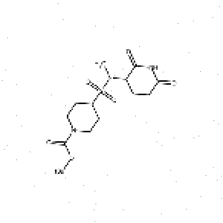 CN(C1CCC(=O)NC1=O)S(=O)(=O)C1CCN(C(=O)OC(C)(C)C)CC1